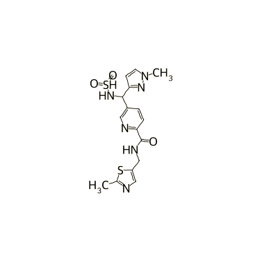 Cc1ncc(CNC(=O)c2ccc(C(N[SH](=O)=O)c3ccn(C)n3)cn2)s1